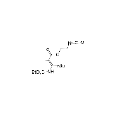 CCCCC(NC(=O)OCC)=C(C)C(=O)OCCN=C=O